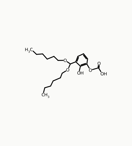 CCCCCCOC(OCCCCCC)c1cccc(OC(=O)O)c1O